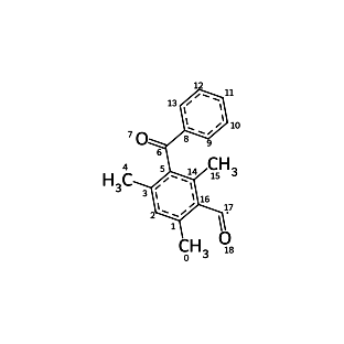 Cc1cc(C)c(C(=O)c2ccccc2)c(C)c1[C]=O